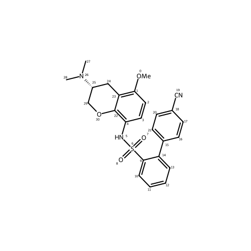 COc1ccc(NS(=O)(=O)c2ccccc2-c2ccc(C#N)cc2)c2c1C[C@@H](N(C)C)CO2